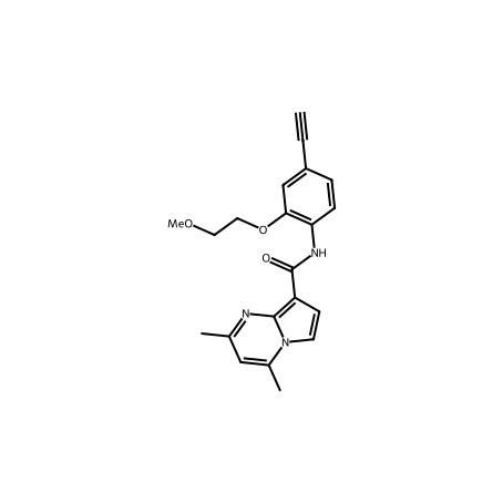 C#Cc1ccc(NC(=O)c2ccn3c(C)cc(C)nc23)c(OCCOC)c1